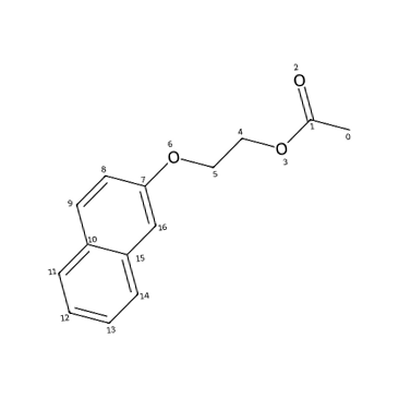 CC(=O)OCCOc1ccc2ccccc2c1